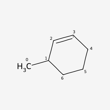 CC1C=[C]CCC1